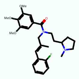 COc1cc(C(=O)N(CCC2CCCN2C)CC(C)=Cc2ccccc2F)cc(OC)c1OC